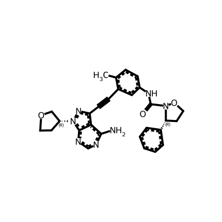 Cc1ccc(NC(=O)N2OCC[C@@H]2c2ccccc2)cc1C#Cc1nn([C@@H]2CCOC2)c2ncnc(N)c12